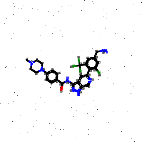 CN1CCN(c2ccc(C(=O)Nc3n[nH]c4cnc(-c5c(F)cc(CN)cc5C(F)(F)F)cc34)cc2)CC1